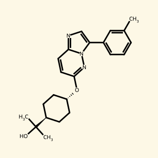 Cc1cccc(-c2cnc3ccc(O[C@H]4CC[C@H](C(C)(C)O)CC4)nn23)c1